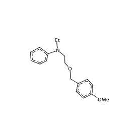 CCN(CCOCc1ccc(OC)cc1)c1ccccc1